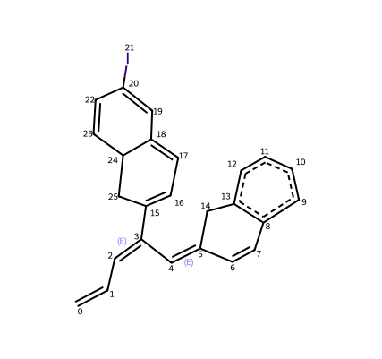 C=C/C=C(\C=C1\C=Cc2ccccc2C1)C1=CC=C2C=C(I)C=CC2C1